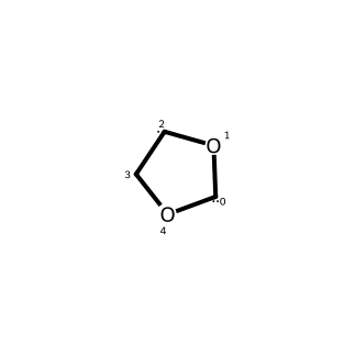 [C]1O[CH]CO1